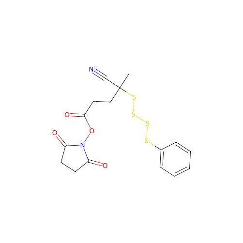 CC(C#N)(CCC(=O)ON1C(=O)CCC1=O)SSSSc1ccccc1